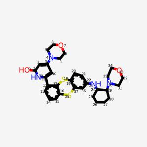 OC1C=C(N2CCOCC2)C=C(c2cccc3c2Sc2ccc(NC4CCCCC4N4CCOCC4)cc2S3)N1